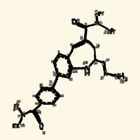 CCCN(CCC)C(=O)C1=Cc2ccc(-c3ccc(C(=O)N(CC)CC)cc3)cc2NC(N=NN)C1